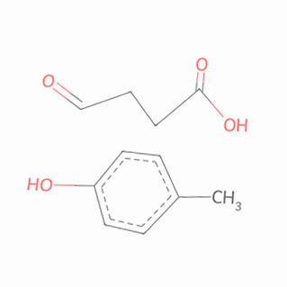 Cc1ccc(O)cc1.O=CCCC(=O)O